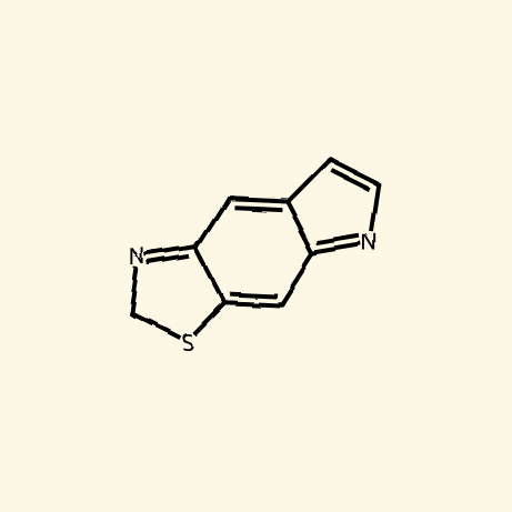 C1=Cc2cc3c(cc2=N1)SCN=3